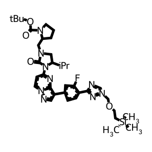 CC(C)C1CN(CC2CCCN2C(=O)OC(C)(C)C)C(=O)N1c1ccn2ncc(-c3ccc(-c4ncn(COCC[Si](C)(C)C)n4)c(F)c3)c2n1